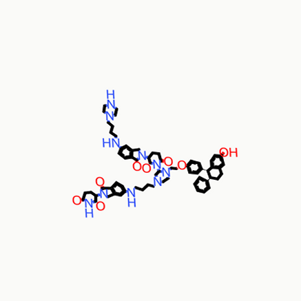 O=C1CCC(N2Cc3cc(NCCCCN4CCN(CCOc5ccc([C@@H]6c7ccc(O)cc7CC[C@@H]6c6ccccc6)cc5)C(N5C(=O)CCC(N6Cc7cc(NCCCCN8CCNCC8)ccc7C6=O)C5=O)C4)ccc3C2=O)C(=O)N1